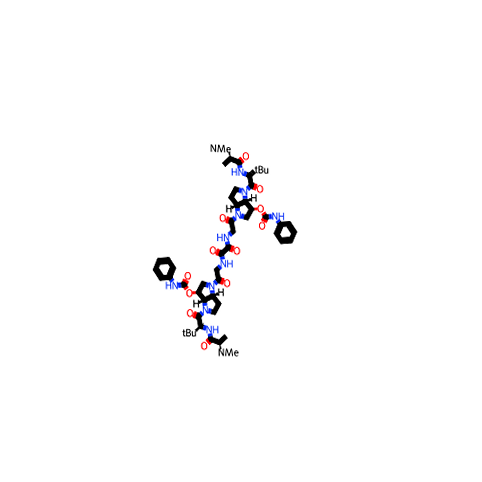 CN[C@@H](C)C(=O)NC(C(=O)N1CC[C@@H]2[C@H]1[C@@H](OC(=O)Nc1ccccc1)CN2C(=O)CNC(=O)C(=O)NCC(=O)N1C[C@H](OC(=O)Nc2ccccc2)[C@@H]2[C@H]1CCN2C(=O)[C@@H](NC(=O)[C@H](C)NC)C(C)(C)C)C(C)(C)C